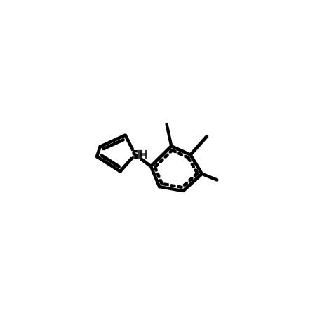 Cc1ccc([SiH]2C=CC=C2)c(C)c1C